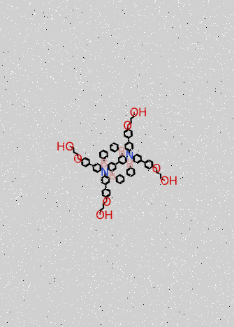 OCCCOc1ccc(-c2ccc3c(c2)B(c2ccccc2)c2cc(-c4cc5c6c(c4)B(c4ccccc4)c4cc(-c7ccc(OCCCO)cc7)ccc4N6c4ccc(-c6ccc(OCCCO)cc6)cc4B5c4ccccc4)cc4c2N3c2ccc(-c3ccc(OCCCO)cc3)cc2B4c2ccccc2)cc1